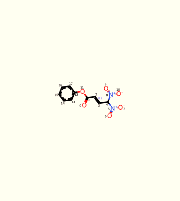 O=C(/C=C/C([N+](=O)[O-])[N+](=O)[O-])Oc1ccccc1